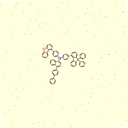 c1ccc(-c2ccc(-c3ccc(N(c4ccc(-c5cccc6c5-c5ccccc5C6(c5ccccc5)c5ccccc5)cc4)c4ccc(-c5cccc6oc7ccccc7c56)cc4)c4ccccc34)cc2)cc1